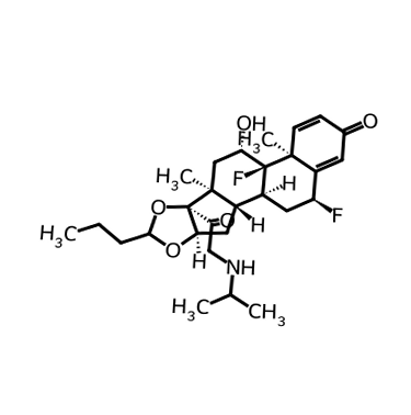 CCCC1O[C@@H]2C[C@H]3[C@@H]4C[C@H](F)C5=CC(=O)C=C[C@]5(C)[C@@]4(F)[C@@H](O)C[C@]3(C)[C@]2(C(=O)CNC(C)C)O1